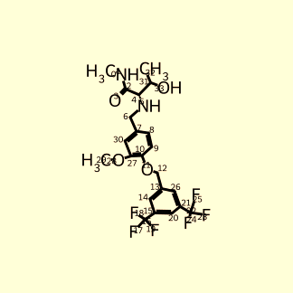 CNC(=O)[C@@H](NCc1ccc(OCc2cc(C(F)(F)F)cc(C(F)(F)F)c2)c(OC)c1)C(C)O